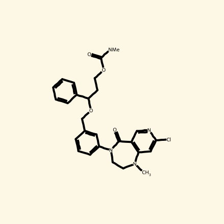 CNC(=O)OCCC(OCc1cccc(N2CCN(C)c3cc(Cl)ncc3C2=O)c1)c1ccccc1